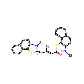 CCNc1ccc2ccccc2c1SC(=O)/C=C(/C=C1/Sc2c(ccc3ccccc23)N1CC)CC